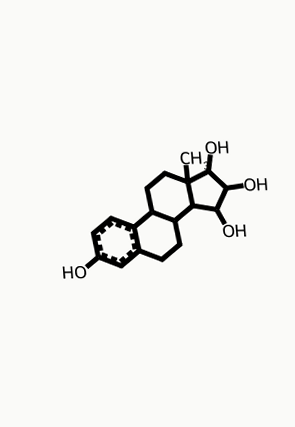 CC12CCC3c4ccc(O)cc4CCC3C1C(O)C(O)C2O